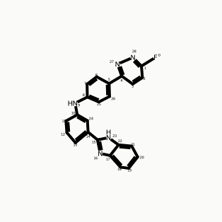 Fc1ccc(-c2ccc(Nc3cccc(-c4nc5ccccc5[nH]4)c3)cc2)nn1